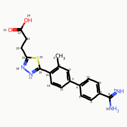 Cc1cc(-c2ccc(C(=N)N)cc2)ccc1-c1nnc(CCC(=O)O)s1